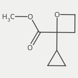 COC(=O)C1(C2CC2)CCO1